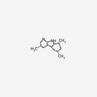 Cc1cnc2[nH]c3c(C)cc(C)cc3c2c1